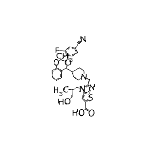 C[C@H](CO)Cn1c(CN2CCC(C3OC(C)(c4ccc(C#N)cc4F)Oc4ccccc43)CC2)nc2sc(C(=O)O)cc21